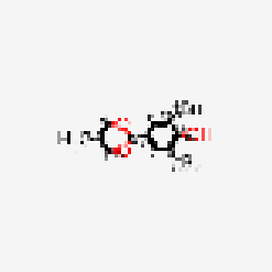 CC(C)(C)c1cc([C@H]2OC[C@H](C)CO2)cc(C(C)(C)C)c1O